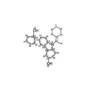 CC(C1CCCCC1)n1c2ccccc2c2cc(O)ccc21.Oc1ccccc1